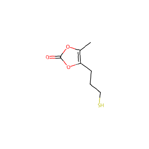 Cc1oc(=O)oc1CCCS